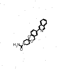 NC(=O)N1CCC2(CC1)OCc1cc(-c3cc4ccccc4cn3)ccc1O2